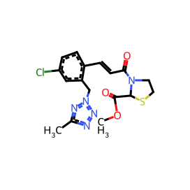 COC(=O)C1SCCN1C(=O)/C=C/c1ccc(Cl)cc1Cn1nnc(C)n1